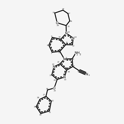 N#Cc1c(N)n(-c2cccc3c2cnn3C2CCCCO2)c2ncc(OCc3ccccc3)nc12